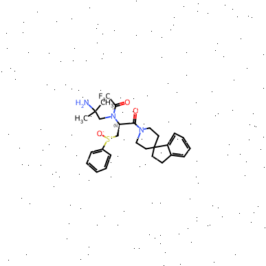 CC(C)(N)CN(C(=O)C(F)(F)F)[C@H](C[S+]([O-])c1ccccc1)C(=O)N1CCC2(CCc3ccccc32)CC1